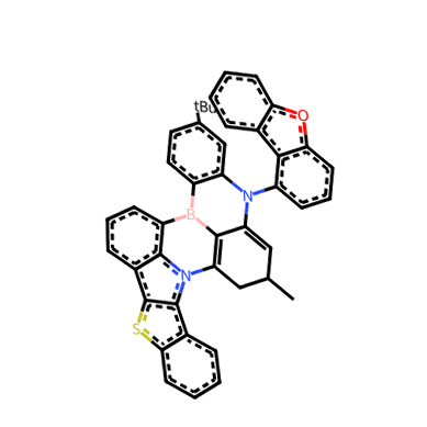 CC1C=C2C3=C(C1)n1c4c(cccc4c4sc5ccccc5c41)B3c1ccc(C(C)(C)C)cc1N2c1cccc2oc3ccccc3c12